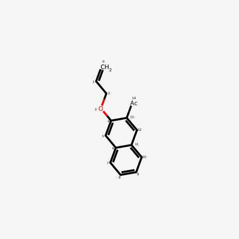 C=CCOc1cc2ccccc2cc1C(C)=O